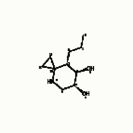 CCC[C@@H]1[C@@H](O)[C@H](O)CNC12CC2